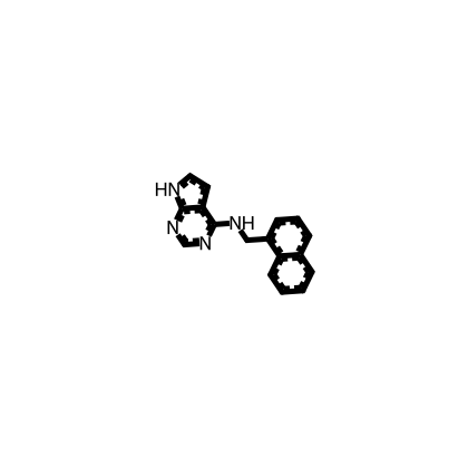 c1ccc2c(CNc3ncnc4[nH]ccc34)cccc2c1